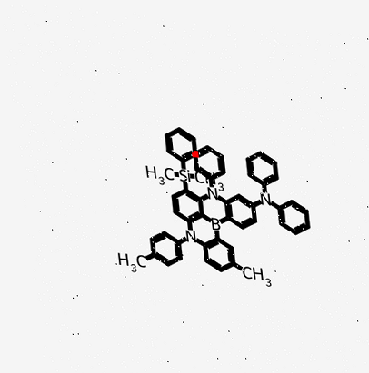 Cc1ccc(N2c3ccc(C)cc3B3c4ccc(N(c5ccccc5)c5ccccc5)cc4N(c4ccccc4)c4c([Si](C)(C)c5ccccc5)ccc2c43)cc1